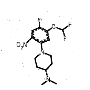 CN(C)C1CCN(c2cc(OC(F)F)c(Br)cc2[N+](=O)[O-])CC1